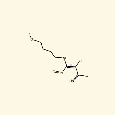 C=N/C(NCCCCOCC)=C(/Cl)C(C)=N